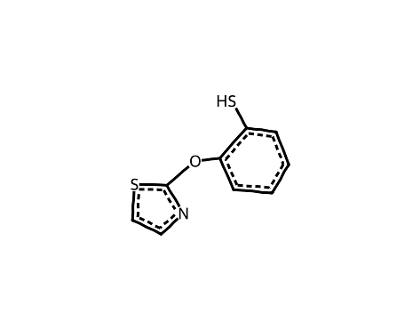 Sc1ccccc1Oc1nccs1